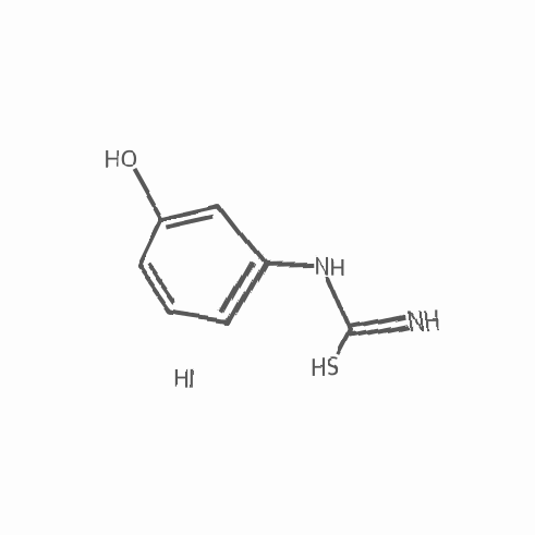 I.N=C(S)Nc1cccc(O)c1